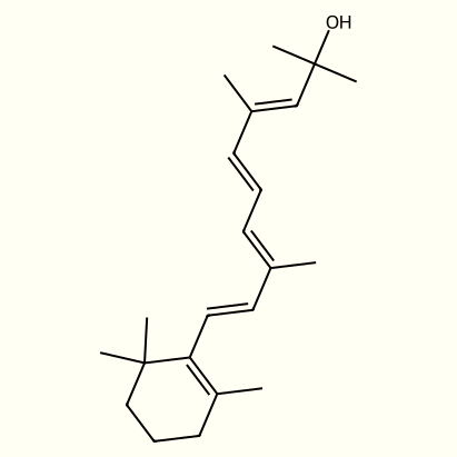 CC(C=CC1=C(C)CCCC1(C)C)=CC=CC(C)=CC(C)(C)O